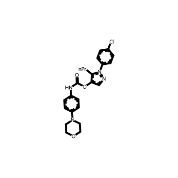 CCCc1c(OC(=O)Nc2ccc(N3CCOCC3)cc2)cnn1-c1ccc(Cl)cc1